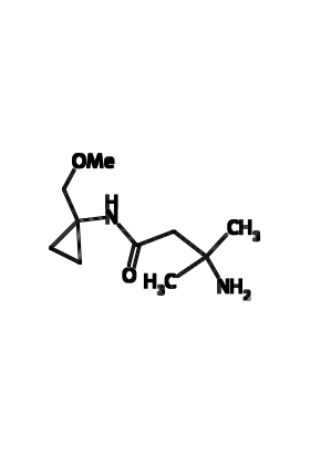 COCC1(NC(=O)CC(C)(C)N)CC1